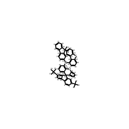 CC(C)(C)c1ccc2c(c1)C1(c3ccccc3Oc3c(N(c4ccc5c(c4)C(C)(C)c4ccccc4-5)c4cccc5sc6ccccc6c45)cccc31)c1cc(C(C)(C)C)ccc1-2